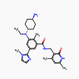 CCN(c1cc(-c2nccn2C)cc(C(=O)NCc2c(C)cc(C)[nH]c2=O)c1C)[C@H]1CC[C@H](N)CC1